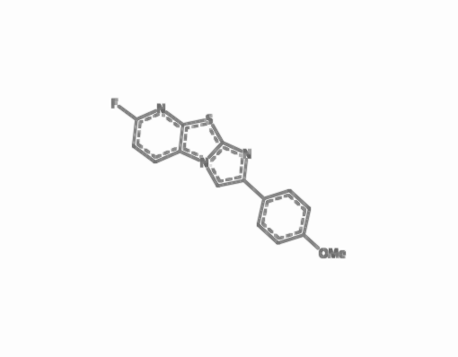 COc1ccc(-c2cn3c(n2)sc2nc(F)ccc23)cc1